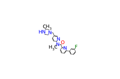 C[C@H]1CN(Cc2ccc(N(C)C(=O)c3cccc(-c4cccc(F)c4)n3)nc2)CCN1